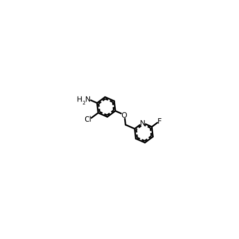 Nc1ccc(OCc2cccc(F)n2)cc1Cl